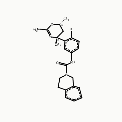 C[C@]1(c2cc(NC(=O)N3CCc4ccccc4C3)ccc2F)C[C@@H](C(F)(F)F)OC(N)=N1